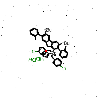 Cl.Cl.[CH2]=[Zr]([CH2]c1ccc(Cl)cc1)([CH2]c1ccc(Cl)cc1)([C]1=CC=CC1)[c]1c2c(cc(C(C)(C)C)c1-c1ccccc1C)-c1cc(C(C)(C)C)c(-c3ccccc3C)cc1C2